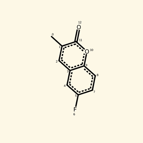 Cc1cc2cc(F)ccc2oc1=O